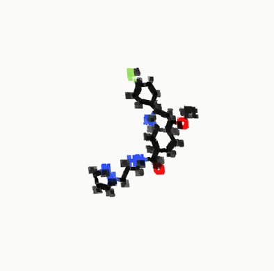 CCOc1cc(-c2ccc(F)cc2)nc2cc(C(=O)NCCCn3cccn3)ccc12